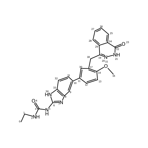 CCNC(=O)Nc1nc2cc(-c3ccc(OC)c(Cc4n[nH]c(=O)c5ccccc45)c3)ccc2[nH]1